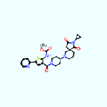 CC(C)(C)OC(=O)Nc1sc(-c2ccccn2)cc1C(=O)N1CCC(N2CCCC3(CC(=O)N(C4CC4)C3=O)C2)CC1